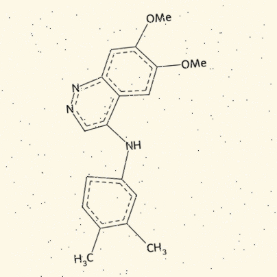 COc1cc2nncc(Nc3ccc(C)c(C)c3)c2cc1OC